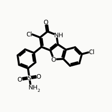 NS(=O)(=O)c1cccc(-c2c(Cl)c(=O)[nH]c3c2oc2ccc(Cl)cc23)c1